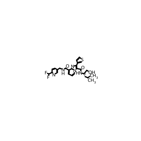 CC(C)C[C@@H](CO)NC(=O)c1c(-c2ccsc2)nc2c(C(=O)NCc3ccc(C(F)F)nc3)cccn12